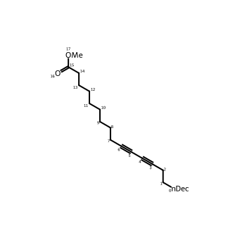 CCCCCCCCCCCCC#CC#CCCCCCCCCC(=O)OC